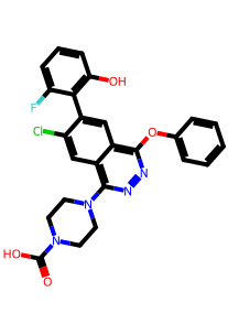 O=C(O)N1CCN(c2nnc(Oc3ccccc3)c3cc(-c4c(O)cccc4F)c(Cl)cc23)CC1